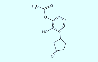 CC(=O)Oc1cccc(C2CCC(=O)C2)c1O